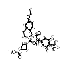 CCOc1ccc2c(c1)CCN(C(=O)[C@H]1C[C@@H](C(=O)O)C1)[C@H]2C(=O)Nc1cc(F)c(S(C)(C)C)c(F)c1